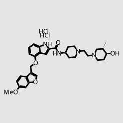 COc1ccc2c(COc3cccc4[nH]c(C(=O)NC5CCN(CCN6CC[C@H](O)[C@@H](C)C6)CC5)cc34)coc2c1.Cl.Cl